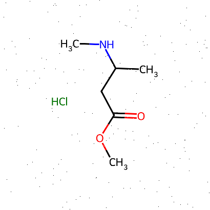 CNC(C)CC(=O)OC.Cl